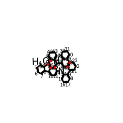 CC1(C)c2ccccc2-c2ccc(N(c3ccccc3-c3ccccc3)c3ccc4ccccc4c3-c3cccc4ccccc34)cc21